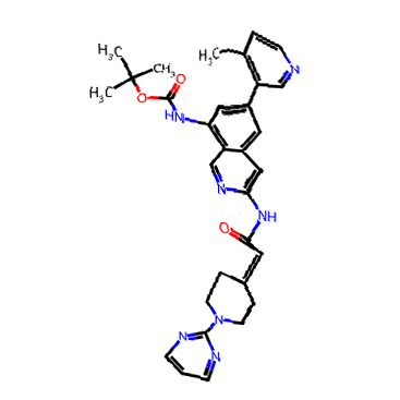 Cc1ccncc1-c1cc(NC(=O)OC(C)(C)C)c2cnc(NC(=O)C=C3CCN(c4ncccn4)CC3)cc2c1